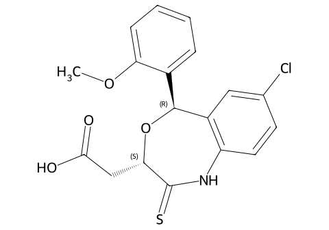 COc1ccccc1[C@@H]1O[C@@H](CC(=O)O)C(=S)Nc2ccc(Cl)cc21